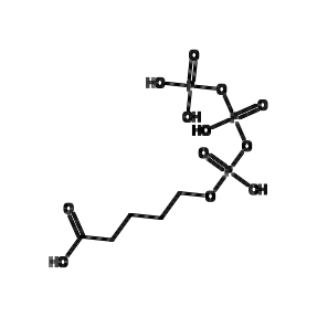 O=C(O)CCCCOP(=O)(O)OP(=O)(O)OP(=O)(O)O